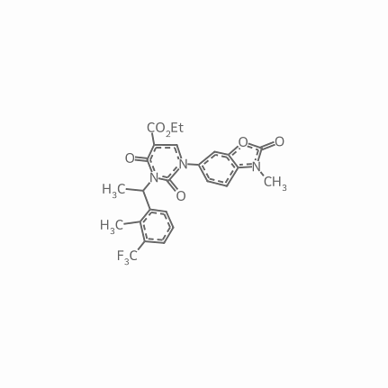 CCOC(=O)c1cn(-c2ccc3c(c2)oc(=O)n3C)c(=O)n(C(C)c2cccc(C(F)(F)F)c2C)c1=O